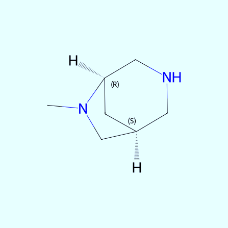 CN1C[C@@H]2CNC[C@H]1C2